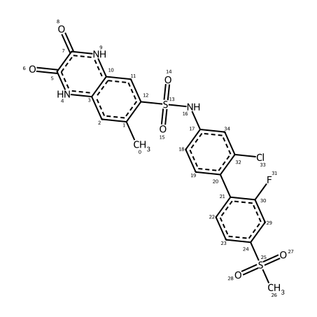 Cc1cc2[nH]c(=O)c(=O)[nH]c2cc1S(=O)(=O)Nc1ccc(-c2ccc(S(C)(=O)=O)cc2F)c(Cl)c1